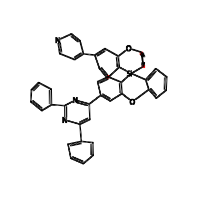 c1ccc(-c2cc(-c3ccc4c(c3)Oc3ccccc3[Si]43c4ccccc4Oc4cc(-c5ccncc5)ccc43)nc(-c3ccccc3)n2)cc1